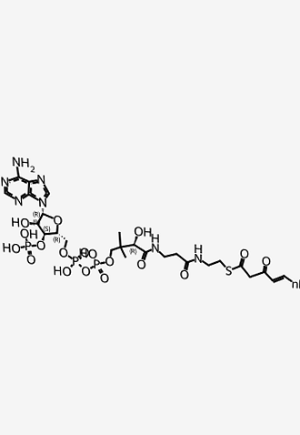 CCCC=CC(=O)CC(=O)SCCNC(=O)CCNC(=O)[C@H](O)C(C)(C)COP(=O)(O)OP(=O)(O)OC[C@H]1O[C@@H](n2cnc3c(N)ncnc32)[C@H](O)[C@@H]1OP(=O)(O)O